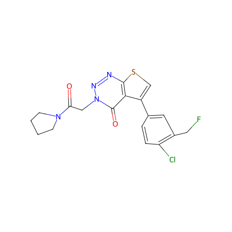 O=C(Cn1nnc2scc(-c3ccc(Cl)c(CF)c3)c2c1=O)N1CCCC1